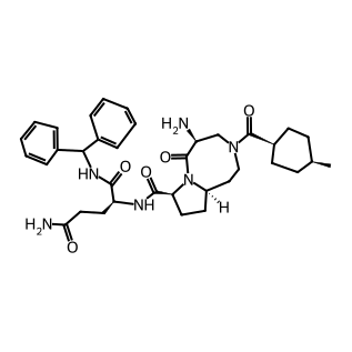 C[C@H]1CC[C@@H](C(=O)N2CC[C@H]3CC[C@@H](C(=O)N[C@@H](CCC(N)=O)C(=O)NC(c4ccccc4)c4ccccc4)N3C(=O)[C@@H](N)C2)CC1